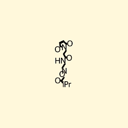 CC(C)C(=O)CON=CCNC(=O)CCN1C(=O)C=CC1=O